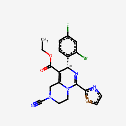 CCOC(=O)C1=C2CN(C#N)CCN2C(c2nccs2)=N[C@H]1c1ccc(F)cc1Br